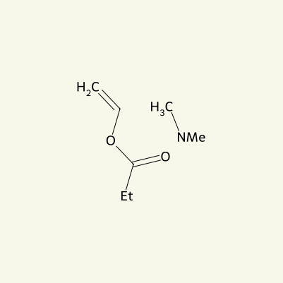 C=COC(=O)CC.CNC